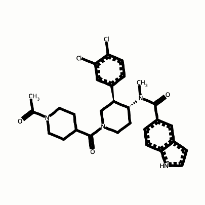 CC(=O)N1CCC(C(=O)N2CC[C@@H](N(C)C(=O)c3ccc4[nH]ccc4c3)[C@H](c3ccc(Cl)c(Cl)c3)C2)CC1